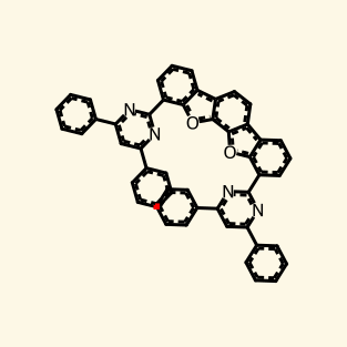 c1ccc(-c2cc(-c3ccccc3)nc(-c3cccc4c3oc3c4ccc4c5cccc(-c6nc(-c7ccccc7)cc(-c7ccccc7)n6)c5oc43)n2)cc1